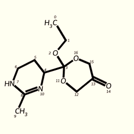 CCOC1(C2CCNC(C)=N2)OCC(=O)CO1